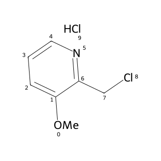 COc1cccnc1CCl.Cl